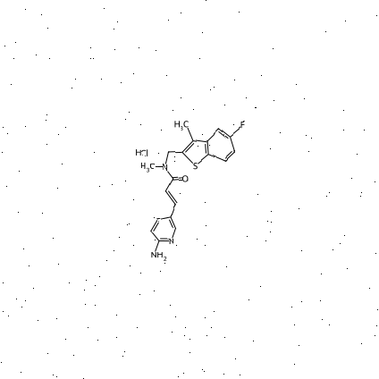 Cc1c(CN(C)C(=O)C=Cc2ccc(N)nc2)sc2ccc(F)cc12.Cl